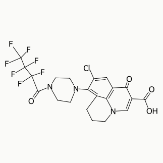 O=C(O)c1cn2c3c(c(N4CCN(C(=O)C(F)(F)C(F)(F)C(F)(F)F)CC4)c(Cl)cc3c1=O)CCC2